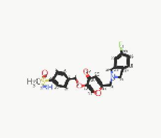 CS(=N)(=O)c1ccc(COc2coc(CN3Cc4ccc(F)cc4C3)cc2=O)cc1